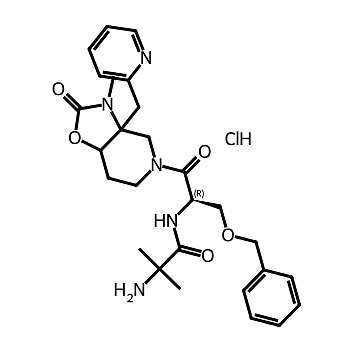 CN1C(=O)OC2CCN(C(=O)[C@@H](COCc3ccccc3)NC(=O)C(C)(C)N)CC21Cc1ccccn1.Cl